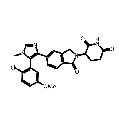 COc1ccc(Cl)c(-c2c(-c3ccc4c(c3)CN(C3CCC(=O)NC3=O)C4=O)ncn2C)c1